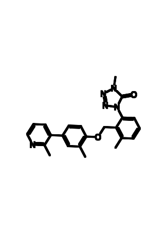 Cc1cc(-c2cccnc2C)ccc1OCc1c(C)cccc1-n1nnn(C)c1=O